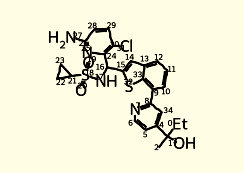 CCC(C)(O)c1ccnc(-c2cccc3cc(C(NS(=O)(=O)C4CC4)c4nc(N)ccc4Cl)sc23)c1